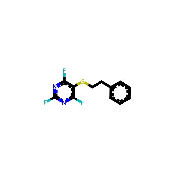 Fc1nc(F)c(SCCc2ccccc2)c(F)n1